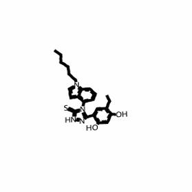 CCCCCCn1ccc2c(-n3c(-c4cc(CC)c(O)cc4O)n[nH]c3=S)cccc21